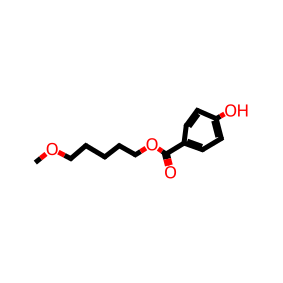 COCCCCCOC(=O)c1ccc(O)cc1